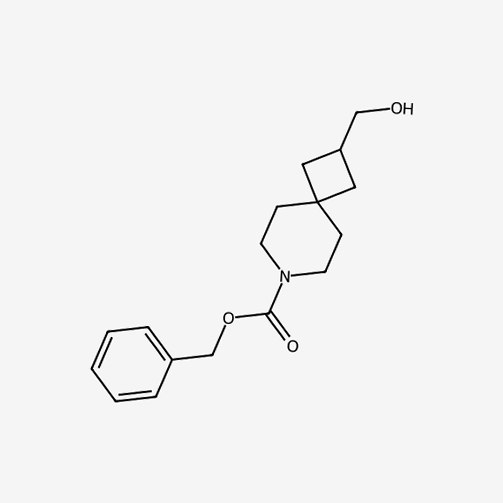 O=C(OCc1ccccc1)N1CCC2(CC1)CC(CO)C2